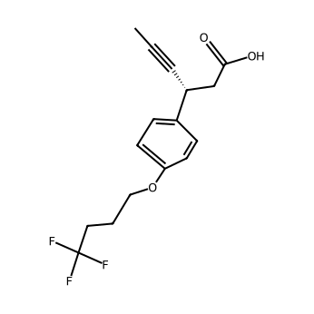 CC#C[C@H](CC(=O)O)c1ccc(OCCCC(F)(F)F)cc1